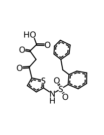 O=C(O)C(=O)CC(=O)c1ccc(NS(=O)(=O)c2ccccc2Cc2ccccc2)s1